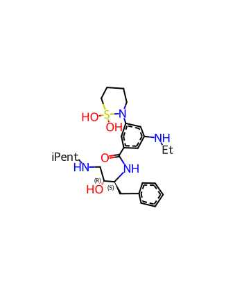 CCCC(C)NC[C@@H](O)[C@H](Cc1ccccc1)NC(=O)c1cc(NCC)cc(N2CCCCS2(O)O)c1